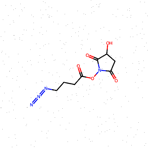 [N-]=[N+]=NCCCC(=O)ON1C(=O)CC(O)C1=O